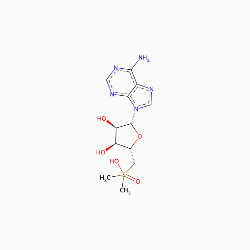 CS(C)(=O)(O)C[C@H]1O[C@@H](n2cnc3c(N)ncnc32)[C@H](O)[C@@H]1O